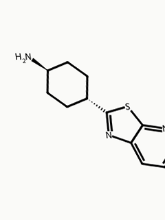 N[C@H]1CC[C@H](c2nc3cccnc3s2)CC1